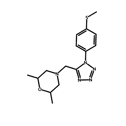 CSc1ccc(-n2nnnc2CN2CC(C)OC(C)C2)cc1